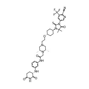 C[C@@H]1CN(CCO[C@H]2CC[C@H](N3C(=S)N(c4cnc(C#N)c(C(F)(F)F)c4)C(=O)C3(C)C)CC2)C[C@H](C)N1CC(=O)Nc1cccc(N[C@H]2CCC(=O)NC2=O)c1